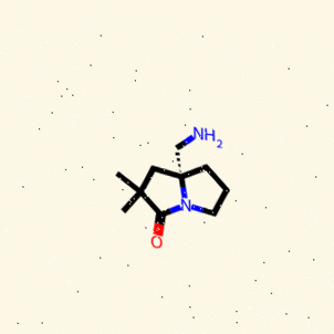 CC1(C)C[C@@]2(CN)CCCN2C1=O